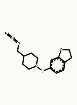 [N-]=[N+]=NCC1CCN(Sc2ccc3c(c2)OCC3)CC1